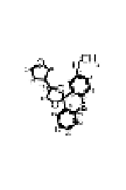 COc1ccc2c(c1)C1(OCC(C3CCOC3)O1)c1ccccc1S2